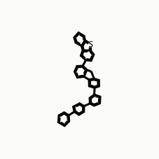 c1ccc(-c2ccc(-c3cccc(-c4ccc5c(c4)-c4cccc(-c6ccc7sc8ccccc8c7c6)c4C5)c3)cc2)cc1